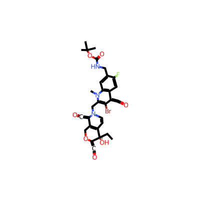 CC[C@@]1(O)C(=C=O)OCC2=C1C=CN(CC1=C(Br)C(=C=O)c3cc(F)c(CNC(=O)OC(C)(C)C)cc3N1C)C2=C=O